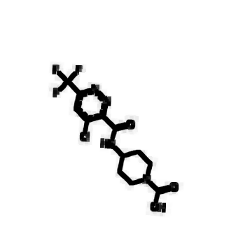 O=C(NC1CCN(C(=O)O)CC1)c1nnc(C(F)(F)F)cc1Cl